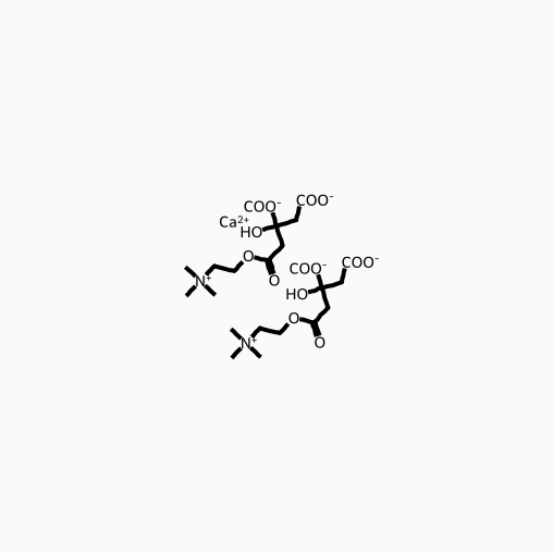 C[N+](C)(C)CCOC(=O)CC(O)(CC(=O)[O-])C(=O)[O-].C[N+](C)(C)CCOC(=O)CC(O)(CC(=O)[O-])C(=O)[O-].[Ca+2]